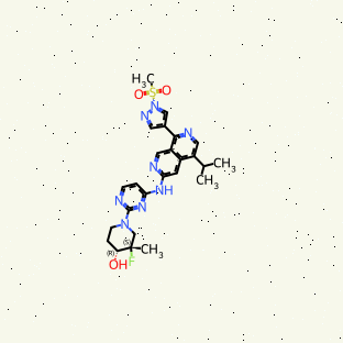 CC(C)c1cnc(-c2cnn(S(C)(=O)=O)c2)c2cnc(Nc3ccnc(N4CC[C@@H](O)[C@@](C)(F)C4)n3)cc12